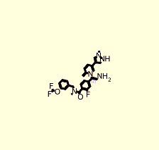 C=C1C=CC(C2=CN(C)NC2)=CN1/C(=C\N)c1ccc(C(=O)N(C)Cc2cccc(OC(F)F)c2)c(F)c1